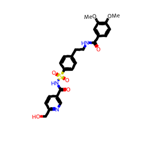 COc1ccc(C(=O)NCCc2ccc(S(=O)(=O)NC(=O)c3ccc(CO)nc3)cc2)cc1OC